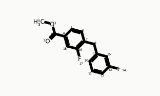 COC(=O)c1ccc(Cc2cccc(F)c2)c(F)c1